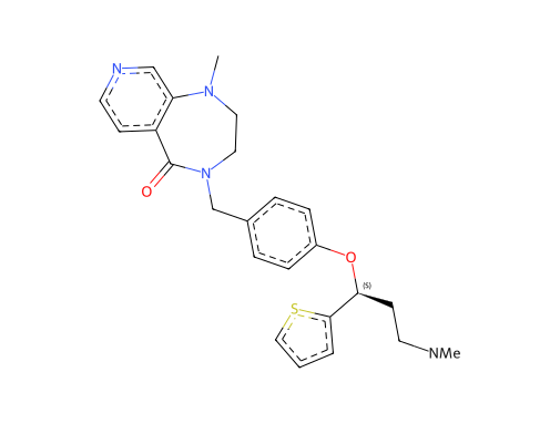 CNCC[C@H](Oc1ccc(CN2CCN(C)c3cnccc3C2=O)cc1)c1cccs1